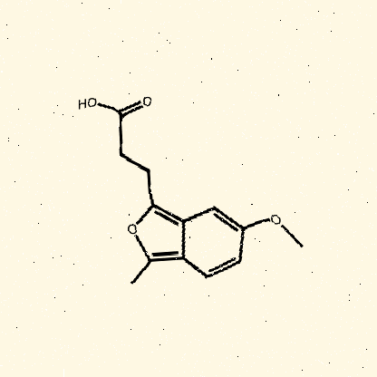 COc1ccc2c(C)oc(CCC(=O)O)c2c1